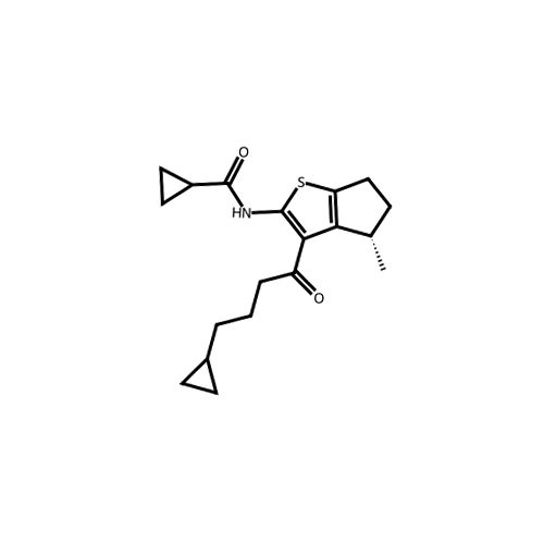 C[C@H]1CCc2sc(NC(=O)C3CC3)c(C(=O)CCCC3CC3)c21